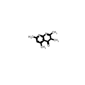 CC1=Nc2nc(C)cc(C)c2C(=O)C1C